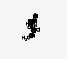 Cn1cnc(-c2cc(Cl)c(F)c(C(=O)NNS(=O)(=O)CC(=O)N3CCCC3)c2)c1